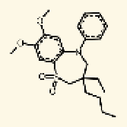 CCCCC1(CC)CN(c2ccccc2)c2cc(OC)c(OC)cc2S(=O)(=O)C1